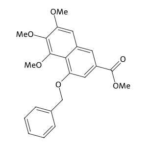 COC(=O)c1cc(OCc2ccccc2)c2c(OC)c(OC)c(OC)cc2c1